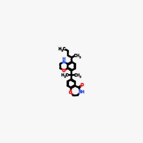 CCCC(C)c1ccc(C(C)(C)c2ccc3c(c2)C(=O)NCCO3)c2c1NCCO2